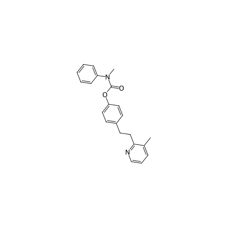 Cc1cccnc1CCc1ccc(OC(=O)N(C)c2ccccc2)cc1